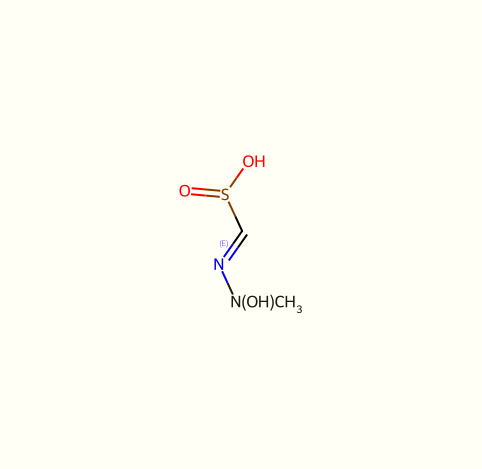 CN(O)/N=C/S(=O)O